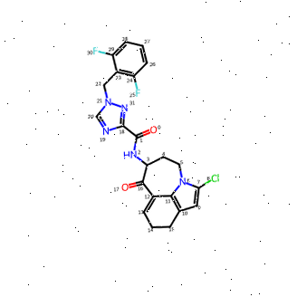 O=C(NC1CCn2c(Cl)cc3c2C(=CCC3)C1=O)c1ncn(Cc2c(F)cccc2F)n1